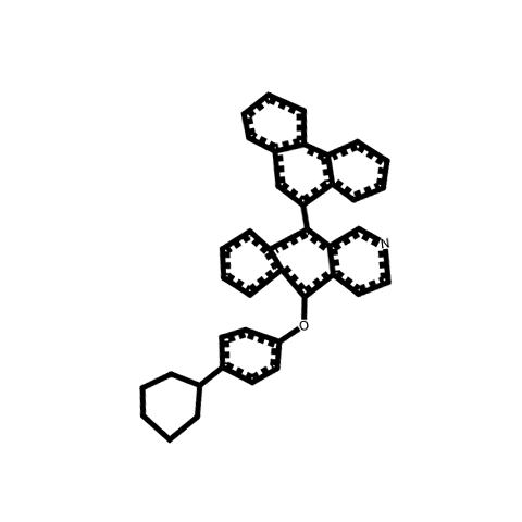 c1ccc2c(c1)cc(-c1c3ccccc3c(Oc3ccc(C4CCCCC4)cc3)c3ccncc13)c1ccccc12